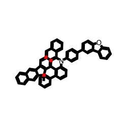 CC1(C)c2cc3ccccc3cc2-c2cccc(-c3c(-c4ccccc4)cccc3N(c3ccc(-c4ccc5oc6ccccc6c5c4)cc3)c3cccc4ccccc34)c21